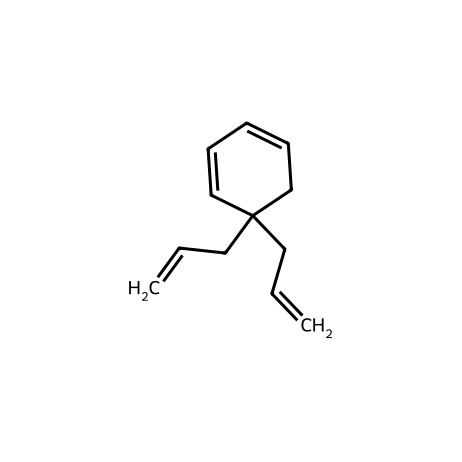 C=CCC1(CC=C)C=CC=CC1